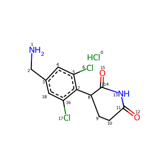 Cl.NCc1cc(Cl)c(C2CCC(=O)NC2=O)c(Cl)c1